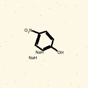 O=[N+]([O-])c1ccc(O)cc1.[NaH].[NaH]